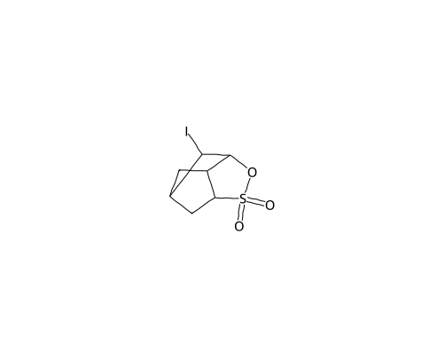 O=S1(=O)OC2C(I)C3CC2C1C3